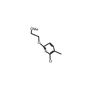 COCCOc1ccc(C)c(Cl)n1